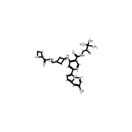 CC(C)(O)C(F)CNC(=O)c1cnc(-c2ccc3cc(C#N)cnn23)cc1NC1CC(CNC(=O)C2CCO2)C1